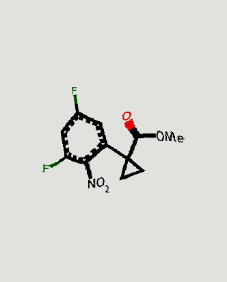 COC(=O)C1(c2cc(F)cc(F)c2[N+](=O)[O-])CC1